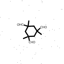 CC1(C=O)CC(C)(C=O)CC(C)(C=O)C1